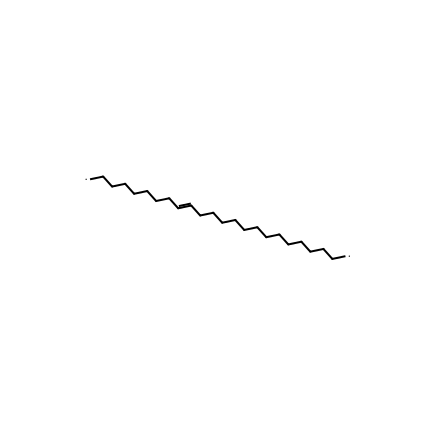 [CH2]CCCCCCCC=CCCCCCCCCCCCCC[CH2]